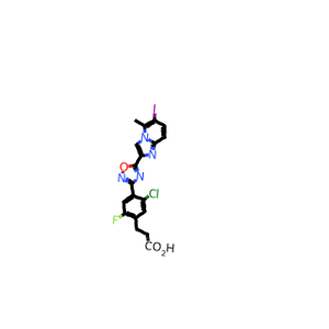 Cc1c(I)ccc2nc(-c3nc(-c4cc(F)c(CCC(=O)O)cc4Cl)no3)cn12